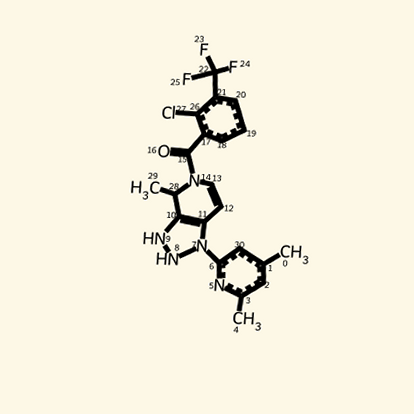 Cc1cc(C)nc(N2NNC3=C2C=CN(C(=O)c2cccc(C(F)(F)F)c2Cl)C3C)c1